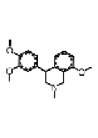 COc1ccc(C2CN(C)Cc3c(OC)cccc32)cc1OC